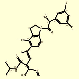 C=N/C(N)=C(\C=C(/C)c1ccc2c(c1F)CCN2C(=O)[C@@H](O)c1cc(F)cc(F)c1)C(=O)NC(C)C